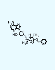 C[C@H](NP(C)(=O)OC[C@@H]1C[C@H](O)[C@H](n2cnc3c(N)ncnc32)O1)C(=O)OCc1ccccc1